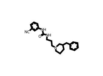 N#Cc1cccc(NC(=O)NCCCN2CCCC(Cc3ccccc3)C2)c1